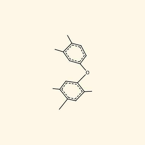 Cc1ccc(Oc2cc(C)c(C)cc2C)cc1C